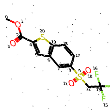 COC(=O)c1cc2cc(S(=O)(=O)CC(F)(F)F)ccc2s1